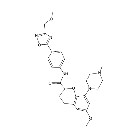 COCc1noc(-c2ccc(NC(=O)C3CCc4cc(OC)cc(N5CCN(C)CC5)c4O3)cc2)n1